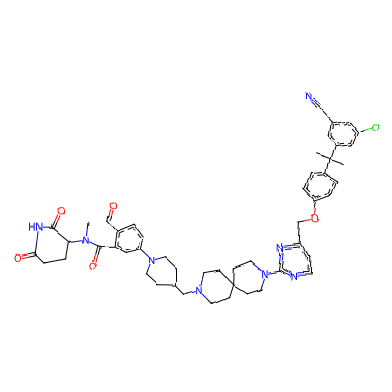 CN(C(=O)c1cc(N2CCC(CN3CCC4(CC3)CCN(c3nccc(COc5ccc(C(C)(C)c6cc(Cl)cc(C#N)c6)cc5)n3)CC4)CC2)ccc1C=O)C1CCC(=O)NC1=O